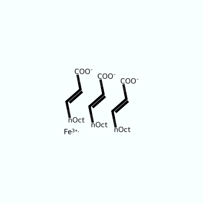 CCCCCCCCC=CC(=O)[O-].CCCCCCCCC=CC(=O)[O-].CCCCCCCCC=CC(=O)[O-].[Fe+3]